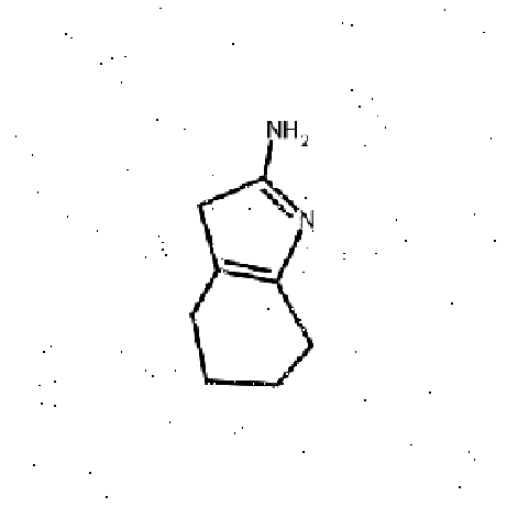 NC1=NC2=C(CCCC2)C1